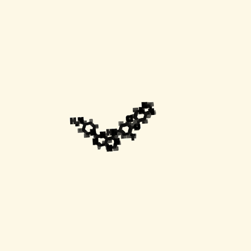 NC1CCN(c2ncc3ncnc(Nc4cc(F)c(Oc5ccn6ncnc6c5)c(Cl)c4)c3n2)CC1